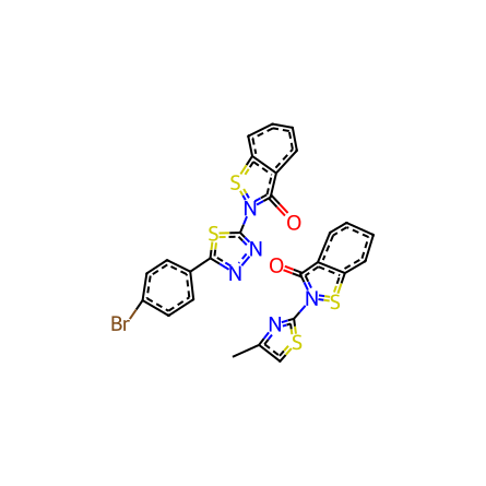 Cc1csc(-n2sc3ccccc3c2=O)n1.O=c1c2ccccc2sn1-c1nnc(-c2ccc(Br)cc2)s1